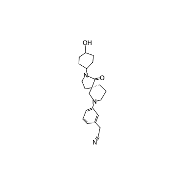 N#CCc1cccc(N2CCC[C@@]3(CCN(C4CCC(O)CC4)C3=O)C2)c1